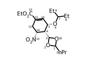 CCCC1OC([C@H]2[C@@H](OC(CC)CC)C=C(C(=O)OCC)C[C@H]2[N+](=O)[O-])O1